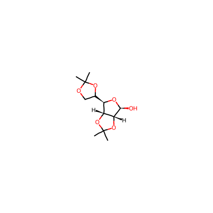 CC1(C)OCC([C@H]2O[C@@H](O)[C@@H]3OC(C)(C)O[C@@H]32)O1